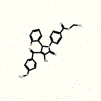 CCOC(=O)c1ccc(N2C(=O)C(O)=C(C(=O)c3ccc(OC)cc3)C2c2ccccc2Cl)cc1